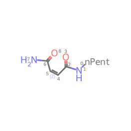 CCCCCNC(=O)/C=C\C(N)=O